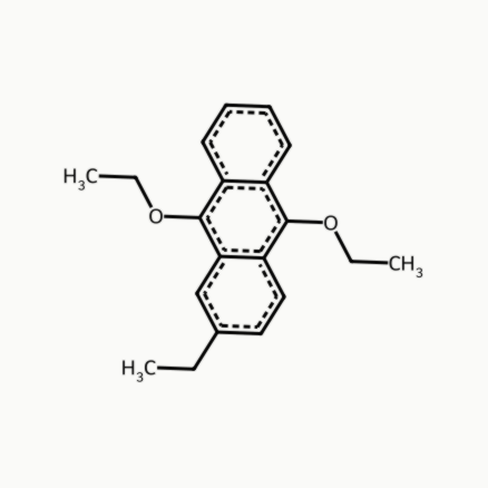 CCOc1c2ccccc2c(OCC)c2cc(CC)ccc12